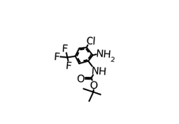 CC(C)(C)OC(=O)Nc1cc(C(F)(F)F)cc(Cl)c1N